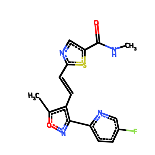 CNC(=O)c1cnc(/C=C/c2c(-c3ccc(F)cn3)noc2C)s1